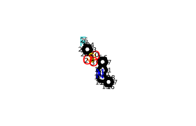 O=S(=O)(Oc1cccc2c1=CN1CC=c3ccccc3=C1C=2)c1ccc(F)cc1